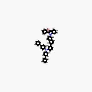 c1ccc(-c2ccc(N(c3ccc(-c4ccccc4)cc3)c3cccc(-c4ccc5cc(-n6c7ccccc7c7oc8ccccc8c76)ccc5c4)c3)cc2)cc1